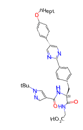 CCCCCCCOc1ccc(-c2cnc(-c3ccc(C[C@H](NC(=O)c4cnn(C(C)(C)C)c4)C(=O)NCC(=O)O)cc3)nc2)cc1